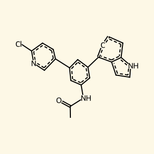 CC(=O)Nc1cc(-c2ccc(Cl)nc2)cc(-c2cccc3[nH]ccc23)c1